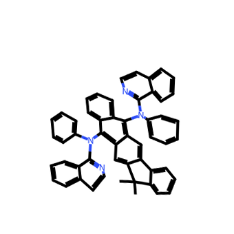 CC1(C)c2ccccc2-c2cc3c(N(c4ccccc4)c4nccc5ccccc45)c4ccccc4c(N(c4ccccc4)c4nccc5ccccc45)c3cc21